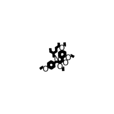 CCCCC(CC)Cn1c(-c2ccc(OCC)cc2)c(OCC)c(=O)c2c(OCC)cc(OCC)cc21